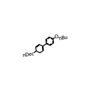 CCCCCCCCCCC1C=CC(c2ccc(OCCCC)cc2)=CC1